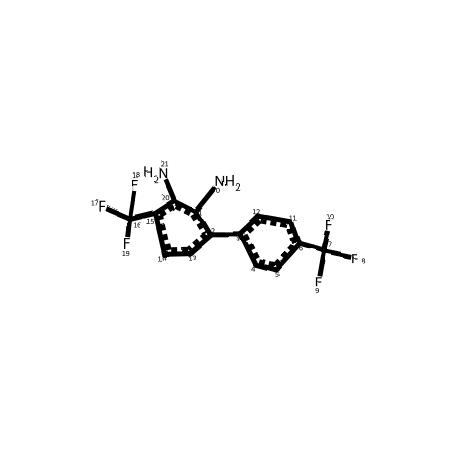 Nc1c(-c2ccc(C(F)(F)F)cc2)ccc(C(F)(F)F)c1N